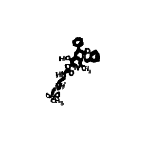 Cc1nc(OC(=O)NCCNCS(C)(=O)=O)c(O)c2cc(-c3ccccc3)c(=O)n(Cc3ccccc3)c12